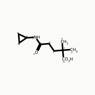 CC(C)(CCC(=O)NC1CC1)C(=O)O